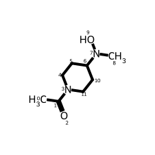 CC(=O)N1CCC(N(C)O)CC1